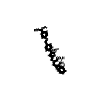 CCCC(CCC)c1ccc(OCc2ccc(-c3csc(CN(CC(=O)O)Cc4nc5ccccc5n4C)c3)cc2)cc1.Cl